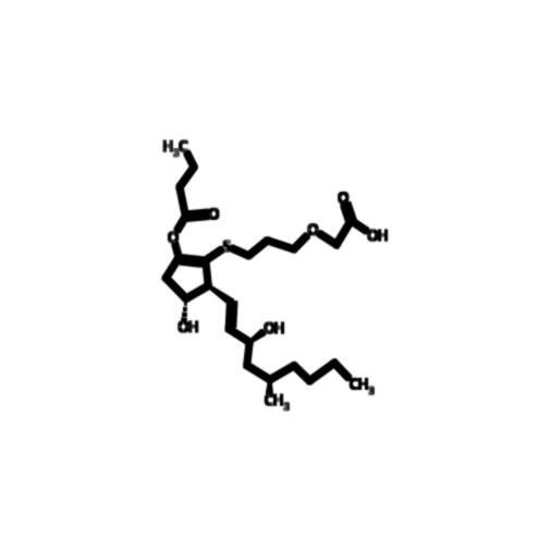 CCCC[C@@H](C)C[C@H](O)C=C[C@@H]1C(SCCCOCC(=O)O)=C(OC(=O)CCC)C[C@H]1O